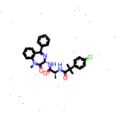 C[C@H](NC(=O)C(C)(C)c1ccc(Cl)cc1)C(=O)N[C@H]1N=C(c2ccccc2)c2ccccc2N(C)C1=O